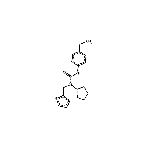 CCc1ccc(NC(=O)N(Cc2cccs2)C2CCCC2)cc1